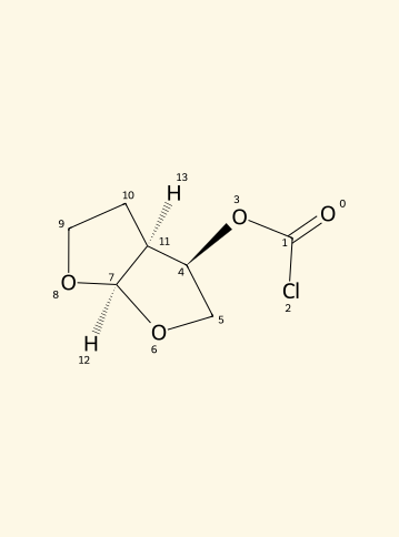 O=C(Cl)O[C@H]1CO[C@H]2OCC[C@H]21